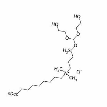 CCCCCCCCCCCCCCCCCC[N+](C)(C)CCC[SiH2]OC(OCCO)OCCO.[Cl-]